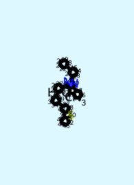 CC1(C)c2ccccc2-c2nc(-c3cccc(-c4ccccc4)c3)nc(-c3cccc(-c4cccc(-c5ccc6sc7ccccc7c6c5)c4)c3)c21